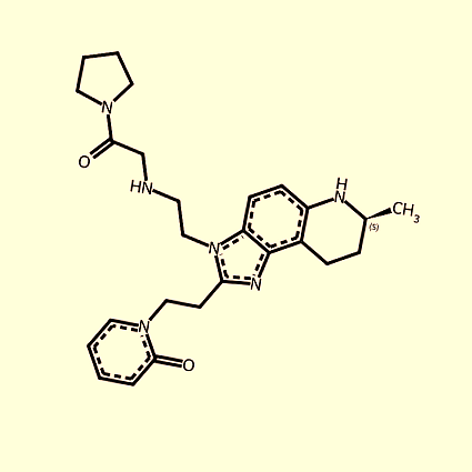 C[C@H]1CCc2c(ccc3c2nc(CCn2ccccc2=O)n3CCNCC(=O)N2CCCC2)N1